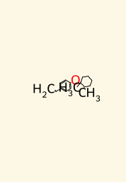 C=Cc1ccc(OC2(C)CCCCC2C)cc1